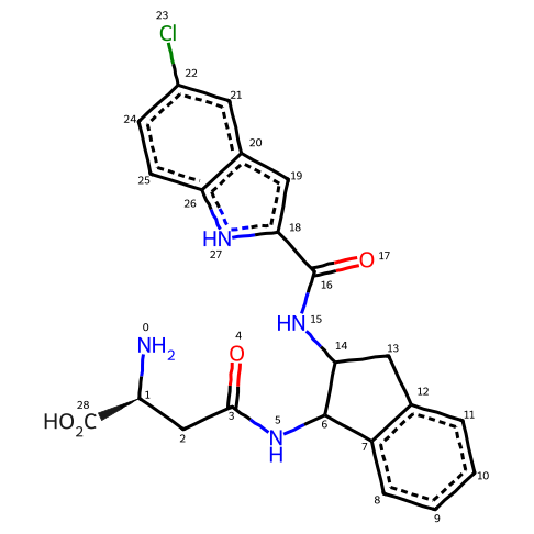 N[C@@H](CC(=O)NC1c2ccccc2CC1NC(=O)c1cc2cc(Cl)ccc2[nH]1)C(=O)O